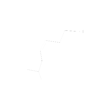 CC(C)C/C=C\CCO